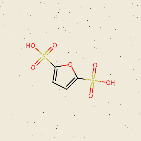 O=S(=O)(O)c1ccc(S(=O)(=O)O)o1